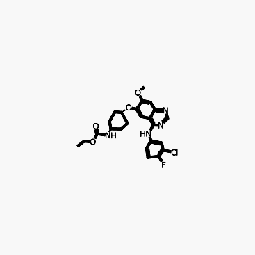 CCOC(=O)N[C@H]1CC[C@H](Oc2cc3c(Nc4ccc(F)c(Cl)c4)ncnc3cc2OC)CC1